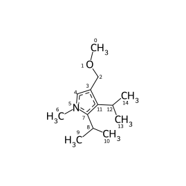 COCc1cn(C)c(C(C)C)c1C(C)C